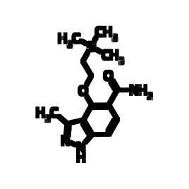 Cc1n[nH]c2ccc(C(N)=O)c(OCC[Si](C)(C)C)c12